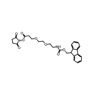 O=C(CCOCCOCCNC(=O)OCC1c2ccccc2-c2ccccc21)ON1C(=O)CCC1=O